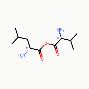 CC(C)C[C@@H](N)C(=O)OC(=O)[C@@H](N)C(C)C